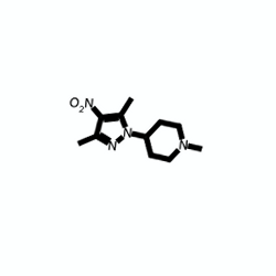 Cc1nn(C2CCN(C)CC2)c(C)c1[N+](=O)[O-]